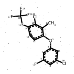 Cc1c(Oc2cc(F)cc(Cl)c2)ccc(SC(F)(F)F)c1Cl